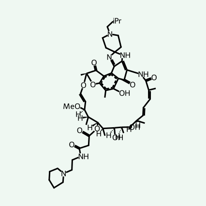 CO[C@H]1/C=C/O[C@@]2(C)Oc3c(C)c(O)c4c(c3C2=O)C2=NC3(CCN(CC(C)C)CC3)NC2=C(NC(=O)/C(C)=C\C=C\[C@H](C)[C@H](O)[C@@H](C)[C@@H](O)[C@@H](C)[C@H](OC(=O)CC(=O)NCCN2CCCCC2)[C@@H]1C)C4=O